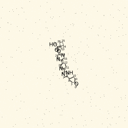 COc1ccc(-c2cnc(-c3ccc(-c4cnc(OCC5(C(=O)O)CCC5)cn4)cn3)[nH]2)cc1